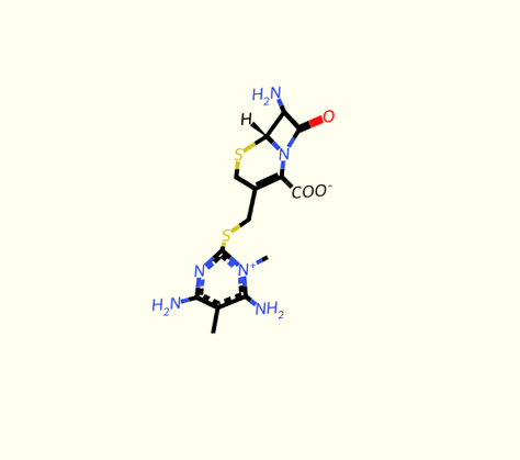 Cc1c(N)nc(SCC2=C(C(=O)[O-])N3C(=O)C(N)[C@H]3SC2)[n+](C)c1N